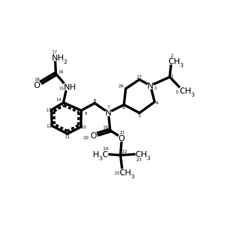 CC(C)N1CCC(N(Cc2ccccc2NC(N)=O)C(=O)OC(C)(C)C)CC1